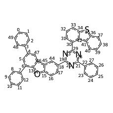 c1ccc(-c2cc(-c3ccccc3)c3oc4ccc(-c5nc(-c6ccccc6)nc(-c6cccc7sc8ccccc8c67)n5)cc4c3c2)cc1